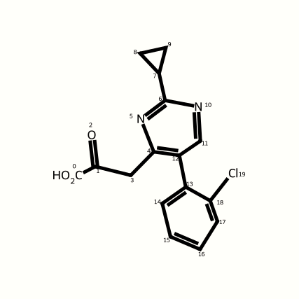 O=C(O)C(=O)Cc1nc(C2CC2)ncc1-c1ccccc1Cl